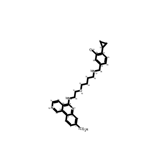 O=C(O)c1ccc2c(c1)nc(NCCOCCCCNCc1ccc(C3CC3)c(Cl)c1)c1ccncc12